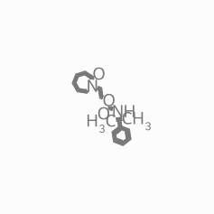 CC(C)(NC(=O)OCCN1CCCCCC1=O)c1ccccc1